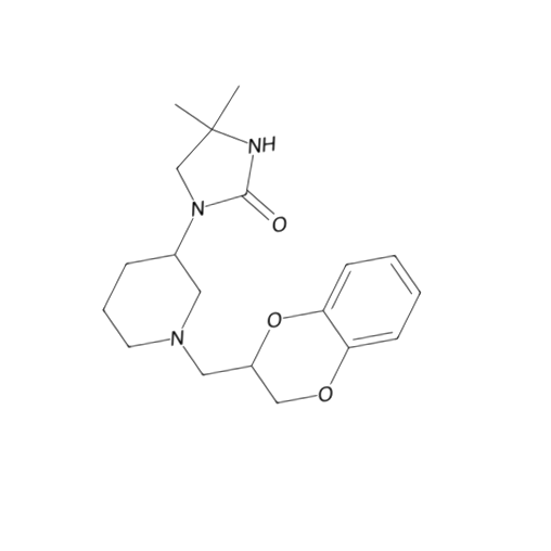 CC1(C)CN(C2CCCN(CC3COc4ccccc4O3)C2)C(=O)N1